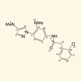 CNc1cnn(-c2ccc(NC(=O)Cc3ccccc3Cl)cc2NC)c1